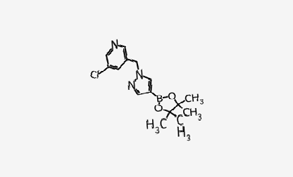 CC1(C)OB(c2cnn(Cc3cncc(Cl)c3)c2)OC1(C)C